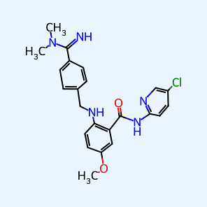 COc1ccc(NCc2ccc(C(=N)N(C)C)cc2)c(C(=O)Nc2ccc(Cl)cn2)c1